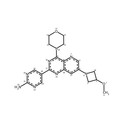 COC1CN(c2cnc3c(N4CCOCC4)nc(-c4cnc(N)nc4)nc3c2)C1